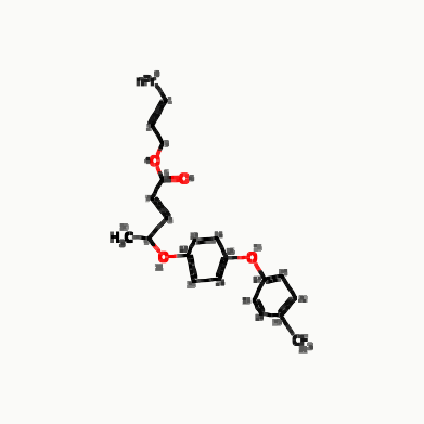 CCCC=CCOC(=O)/C=C/C(C)Oc1ccc(Oc2ccc(C(F)(F)F)cc2)cc1